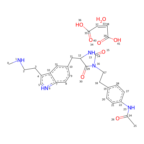 CNCCc1c[nH]c2ccc(CC3NC(=O)N(CCc4ccc(NC(C)=O)cc4)C3=O)cc12.O.O=C(O)/C=C\C(=O)O